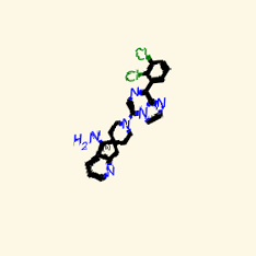 N[C@@H]1c2cccnc2CC12CCN(c1cnc(-c3cccc(Cl)c3Cl)c3nccn13)CC2